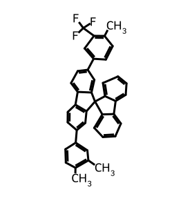 Cc1ccc(-c2ccc3c(c2)C2(c4ccccc4-c4ccccc42)c2cc(-c4ccc(C)c(C(F)(F)F)c4)ccc2-3)cc1C